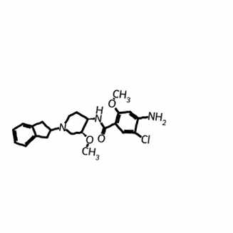 COc1cc(N)c(Cl)cc1C(=O)N[C@@H]1CCN(C2Cc3ccccc3C2)C[C@@H]1OC